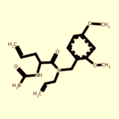 BC(=O)NC(CC=C)C(=O)N(CC=C)Cc1ccc(OC)cc1OC